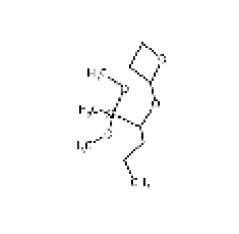 CCCC(OC1CCO1)[Si](C)(OC)OC